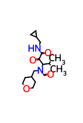 CC(C)C(C(=O)C(=O)NCC1CC1)N(C=O)CC1CCOCC1